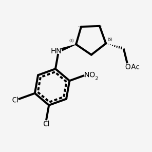 CC(=O)OC[C@H]1[CH][CH][C@H](Nc2cc(Cl)c(Cl)cc2[N+](=O)[O-])C1